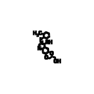 Cc1cccc(Nc2ncnc3cc4c(cc23)O[C@@H](CO)CO4)c1F